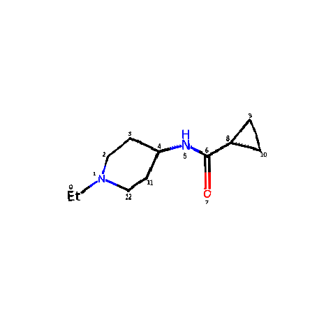 CCN1CCC(NC(=O)C2CC2)CC1